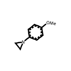 COc1ccc(N2CC2)cc1